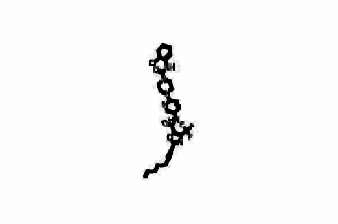 CCCCCC#Cc1nc(C(F)(F)F)c(C(=O)Nc2ccc(N3CCN(C(=O)Nc4ccccc4Cl)CC3)nc2)o1